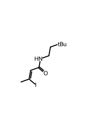 C/C(I)=C/C(=O)NCCC(C)(C)C